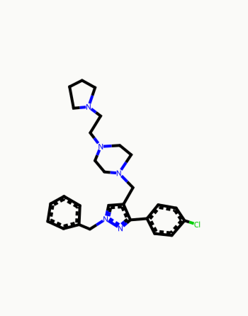 Clc1ccc(-c2nn(Cc3ccccc3)cc2CN2CCN(CCN3CCCC3)CC2)cc1